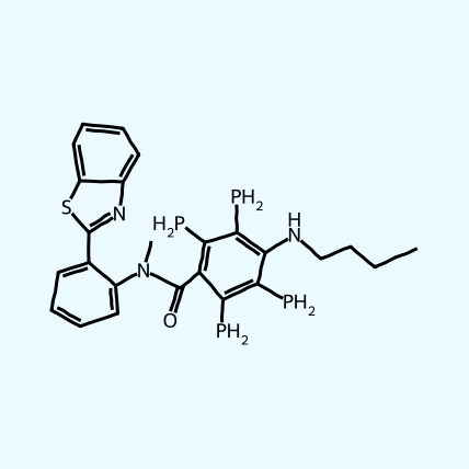 CCCCNc1c(P)c(P)c(C(=O)N(C)c2ccccc2-c2nc3ccccc3s2)c(P)c1P